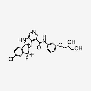 O=C(Nc1cccc(OC[C@H](O)CO)c1)c1cncc2[nH]c(-c3ccc(Cl)cc3C(F)(F)F)nc12